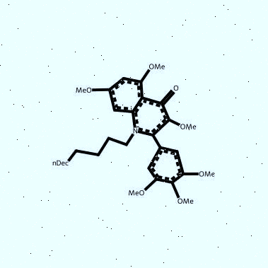 CCCCCCCCCCCCCCn1c(-c2cc(OC)c(OC)c(OC)c2)c(OC)c(=O)c2c(OC)cc(OC)cc21